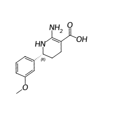 COc1cccc([C@H]2CCC(C(=O)O)=C(N)N2)c1